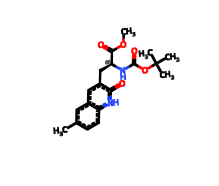 COC(=O)[C@H](Cc1cc2cc(C)ccc2[nH]c1=O)NC(=O)OC(C)(C)C